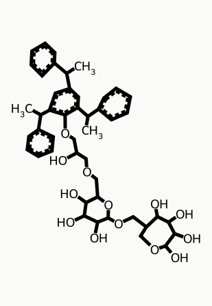 CC(c1ccccc1)c1cc(C(C)c2ccccc2)c(OCC(O)COCC2OC(OCC3COC(O)C(O)C(O)C3O)C(O)C(O)C2O)c(C(C)c2ccccc2)c1